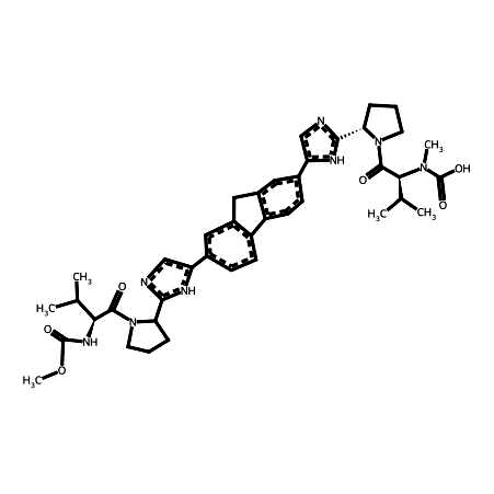 COC(=O)N[C@H](C(=O)N1CCCC1c1ncc(-c2ccc3c(c2)Cc2cc(-c4cnc([C@@H]5CCCN5C(=O)[C@H](C(C)C)N(C)C(=O)O)[nH]4)ccc2-3)[nH]1)C(C)C